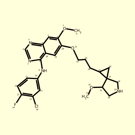 COc1cc2ncnc(Nc3ccc(F)c(Cl)c3)c2cc1OCCCC1CC12CNCC2OC